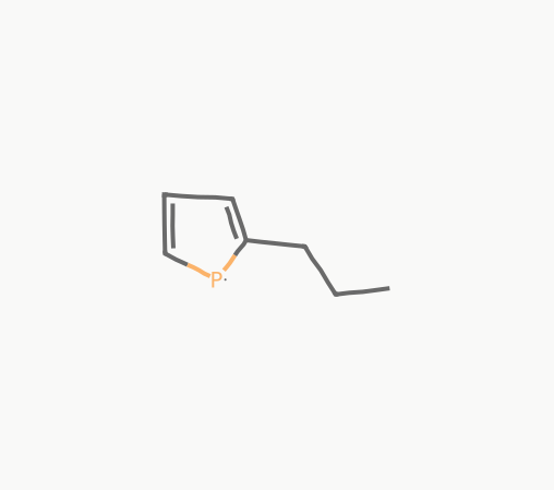 CCCC1=CC=C[P]1